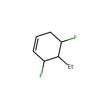 CCC1C(F)C=CCC1F